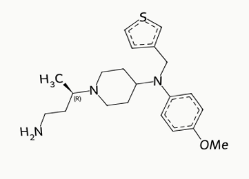 COc1ccc(N(Cc2ccsc2)C2CCN([C@H](C)CCN)CC2)cc1